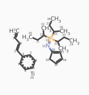 C=CC=Cc1ccccc1.CCC(C)P(=NC1=CC=CC1)(C(C)CC)C(C)CC.[Ti]